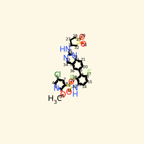 COc1ncc(Cl)cc1S(=O)(=O)Nc1ccc(F)c(-c2ccc3nc(NC4CCS(=O)(=O)C4)ncc3c2)c1F